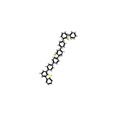 c1ccc2c(c1)sc1c(-c3ccc(-c4ccc5c(c4)sc4cc(-c6ccc(-c7cccc8c7sc7ccccc78)cc6)ccc45)cc3)cccc12